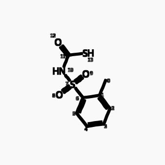 Cc1ccccc1S(=O)(=O)NC(=O)S